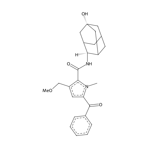 COCc1cc(C(=O)c2ccccc2)n(C)c1C(=O)N[C@H]1C2CC3CC1C[C@](O)(C3)C2